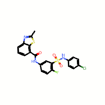 Cc1nc2cccc(C(=O)Nc3ccc(F)c(S(=O)(=O)Nc4ccc(Cl)cc4)c3)c2s1